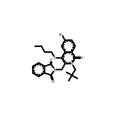 CCCCOc1c(CN2C(=O)c3ccccc3C2=O)n(CC(C)(C)C)c(=O)c2ccc(Br)cc12